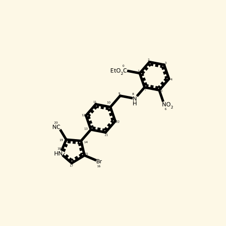 CCOC(=O)c1cccc([N+](=O)[O-])c1NCc1ccc(-c2c(Br)c[nH]c2C#N)cc1